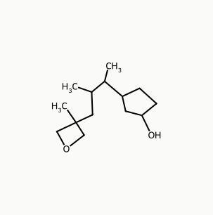 CC(CC1(C)COC1)C(C)C1CCC(O)C1